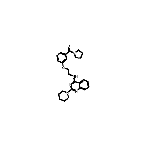 O=C(c1cccc(OCCNc2nc(N3CCCCC3)nc3ccccc23)c1)N1CCCC1